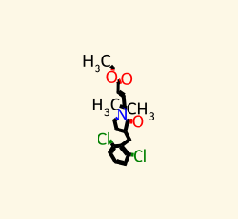 CCOC(=O)/C=C/C(C)(C)N1CCC(Cc2c(Cl)cccc2Cl)C1=O